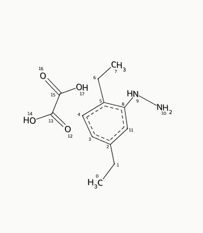 CCc1ccc(CC)c(NN)c1.O=C(O)C(=O)O